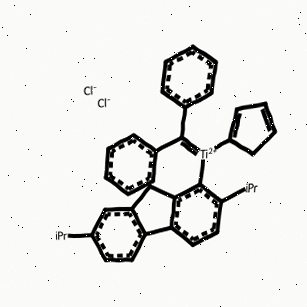 CC(C)c1ccc2c(c1)Cc1c-2ccc(C(C)C)[c]1[Ti+2]([C]1=CC=CC1)=[C](c1ccccc1)c1ccccc1.[Cl-].[Cl-]